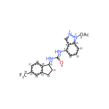 CC(=O)On1ncc2c(NC(=O)NC3CCc4cc(C(F)(F)F)ccc43)cccc21